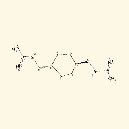 CC(=N)SC[C@H]1CC[C@H](CSC(=N)N)CC1